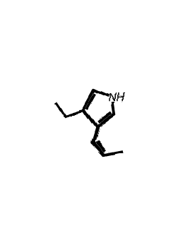 C/C=C\c1c[nH]cc1CC